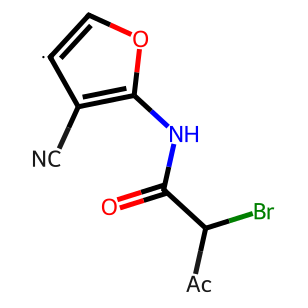 CC(=O)C(Br)C(=O)Nc1oc[c]c1C#N